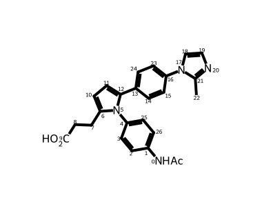 CC(=O)Nc1ccc(-n2c(CCC(=O)O)ccc2-c2ccc(-n3ccnc3C)cc2)cc1